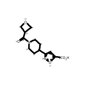 O=C(O)c1cc(C2CCN(C(=O)C3COC3)CC2)no1